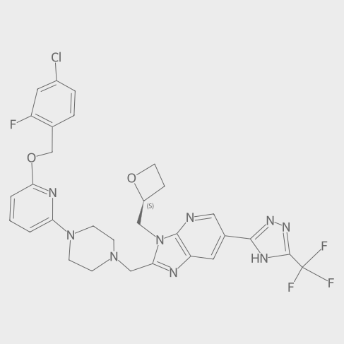 Fc1cc(Cl)ccc1COc1cccc(N2CCN(Cc3nc4cc(-c5nnc(C(F)(F)F)[nH]5)cnc4n3C[C@@H]3CCO3)CC2)n1